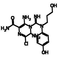 N=C(N(CCCO)c1ccc(O)cc1)N1C(N)=C(C(N)=O)N=C(Cl)C1N